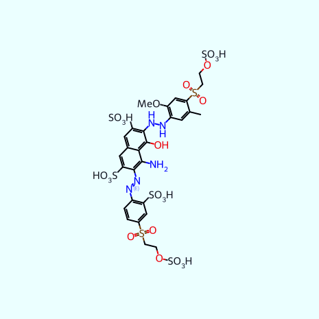 COc1cc(S(=O)(=O)CCOS(=O)(=O)O)c(C)cc1NNc1c(S(=O)(=O)O)cc2cc(S(=O)(=O)O)c(/N=N/c3ccc(S(=O)(=O)CCOS(=O)(=O)O)cc3S(=O)(=O)O)c(N)c2c1O